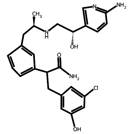 C[C@H](Cc1cccc(C(Cc2cc(O)cc(Cl)c2)C(N)=O)c1)NC[C@@H](O)c1ccc(N)nc1